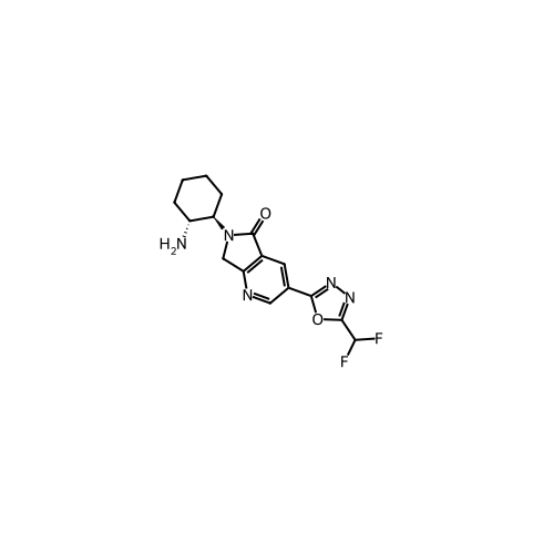 N[C@@H]1CCCC[C@H]1N1Cc2ncc(-c3nnc(C(F)F)o3)cc2C1=O